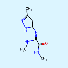 CNC(=O)C(=NC1CC(C)=NN1)NC